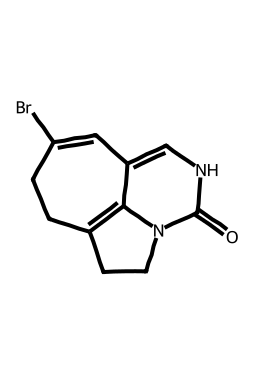 O=C1NC=C2C=C(Br)CCC3=C2N1CC3